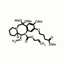 C=CCOC(=O)N1c2cc(OCCCC(=O)OC)c(OC)cc2C(OC)(OC)CN2CCCC[C@H]2[C@@H]1OP